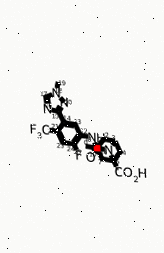 CC1CC2CC(C(=O)O)(C1)N2C(=O)Nc1cc(-c2ncn(C)n2)c(C(F)(F)F)cc1F